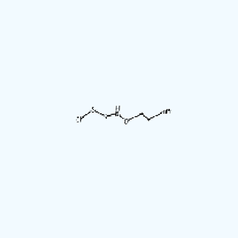 CCCCCOBSSCl